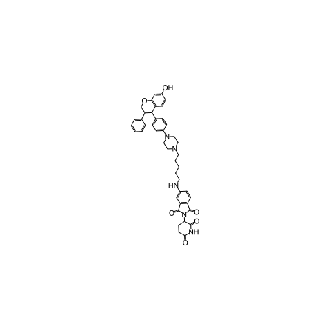 O=C1CCC(N2C(=O)c3ccc(NCCCCCN4CCN(c5ccc(C6c7ccc(O)cc7OCC6c6ccccc6)cc5)CC4)cc3C2=O)C(=O)N1